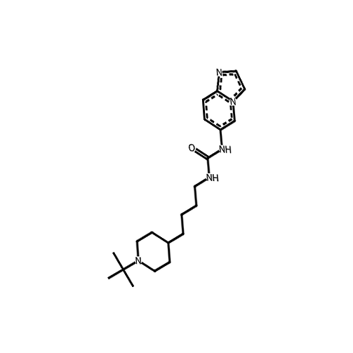 CC(C)(C)N1CCC(CCCCNC(=O)Nc2ccc3nccn3c2)CC1